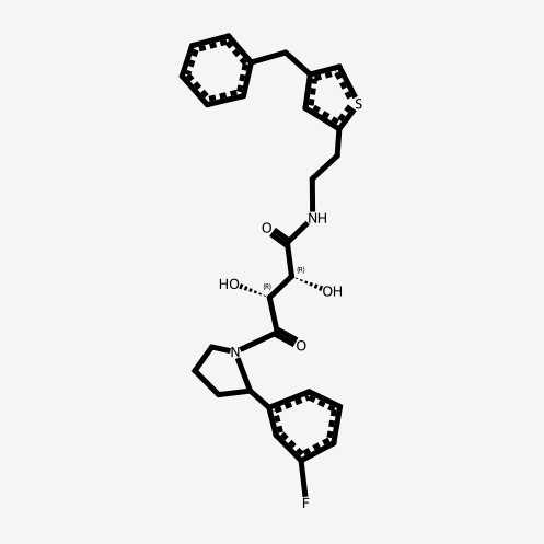 O=C(NCCc1cc(Cc2ccccc2)cs1)[C@H](O)[C@@H](O)C(=O)N1CCCC1c1cccc(F)c1